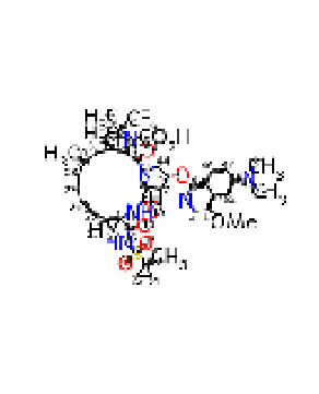 COc1cnc(O[C@@H]2C[C@H]3C(=O)N[C@]4(C(=O)NS(=O)(=O)C5(C)CC5)C[C@H]4C=CCC[C@@H](C)C[C@@H](C)[C@H](N(C(=O)O)C(C)(C)C(F)(F)F)C(=O)N3C2)c2ccc(N(C)C)cc12